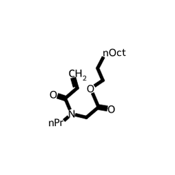 C=CC(=O)N(CCC)CC(=O)OCCCCCCCCCC